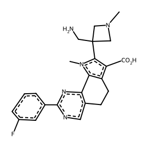 CN1CC(CN)(c2c(C(=O)O)c3c(n2C)-c2nc(-c4cccc(F)c4)ncc2CC3)C1